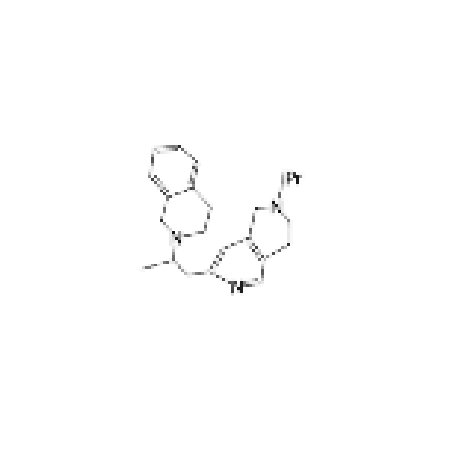 CC(C)N1CCc2cnc(CC(C)N3CCc4ccccc4C3)cc2C1